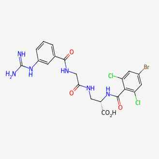 N=C(N)Nc1cccc(C(=O)NCC(=O)NC[C@H](NC(=O)c2c(Cl)cc(Br)cc2Cl)C(=O)O)c1